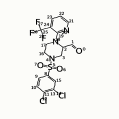 O=CC1CN(S(=O)(=O)c2ccc(Cl)c(Cl)c2)CCN1c1ncccc1C(F)(F)F